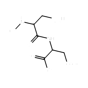 CC(C)NC(CC(=O)O)C(=O)NC(CC(=O)O)C(=O)C(C)C